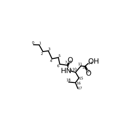 CCCCCCCC(=O)NC(CC(=O)O)CC(C)C